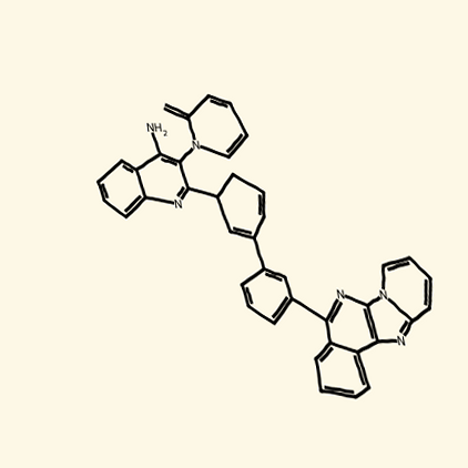 C=C1C=CC=CN1c1c(C2C=C(c3cccc(-c4nc5c(nc6ccccn65)c5ccccc45)c3)C=CC2)nc2ccccc2c1N